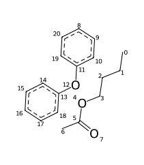 CCCCOC(C)=O.c1ccc(Oc2ccccc2)cc1